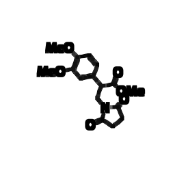 COC(=O)C(CN1C(=O)CCC1=O)c1ccc(OC)c(OC)c1